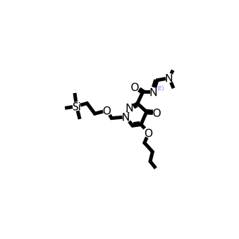 CCCCOc1cn(COCC[Si](C)(C)C)nc(C(=O)/N=C/N(C)C)c1=O